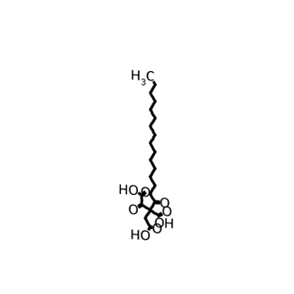 CCCCCCCCCCCCCCCC(=O)C(CC(=O)O)(C(=O)O)C(=O)C(=O)O